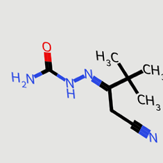 CC(C)(C)/C(CC#N)=N/NC(N)=O